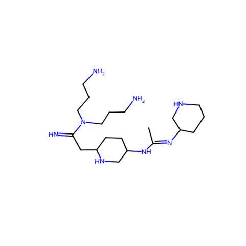 C/C(=N\C1CCCNC1)NC1CCC(CC(=N)N(CCCN)CCCN)NC1